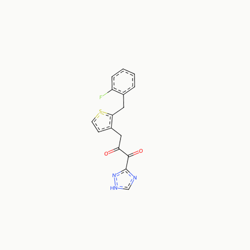 O=C(Cc1ccsc1Cc1ccccc1F)C(=O)c1nc[nH]n1